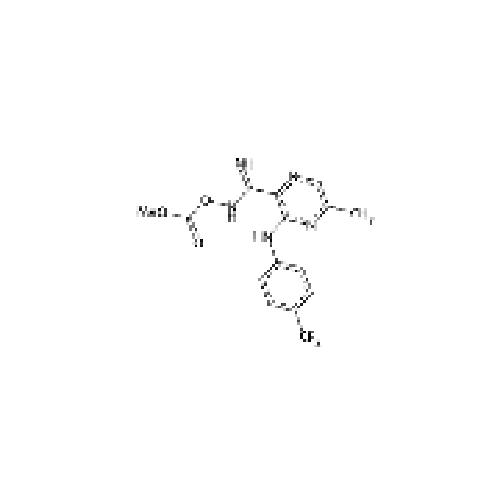 COC(=O)ONC(=N)c1ncc(C)nc1Nc1ccc(C(F)(F)F)cc1